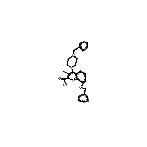 Cc1c(C(=O)O)nc2c(OCc3ccccc3)cccc2c1N1CCN(Cc2ccccc2)CC1